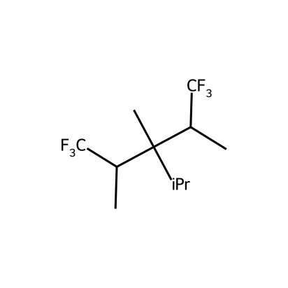 CC(C)C(C)(C(C)C(F)(F)F)C(C)C(F)(F)F